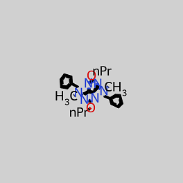 CCCOc1nc(N(C)Cc2ccccc2)c2nc(OCCC)nc(N(C)Cc3ccccc3)c2n1